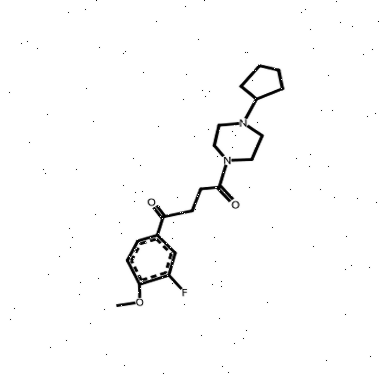 COc1ccc(C(=O)CCC(=O)N2CCN(C3CCCC3)CC2)cc1F